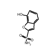 NS(=O)(=O)c1cc2cccc(O)c2o1